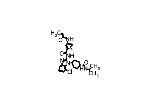 C=CC(=O)Nc1csc(C(=O)Nc2nc3cccc(Cl)c3n2[C@H]2CC[C@@H](C(=O)NC(C)C)CC2)c1